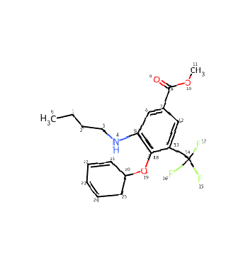 CCCCNc1cc(C(=O)OC)cc(C(F)(F)F)c1OC1C=CC=CC1